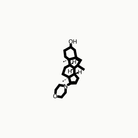 CC1C=C2CC(O)CC[C@]2(C)[C@@H]2CC[C@]3(C)C(N4CCOCC4)=CC[C@H]3[C@H]12